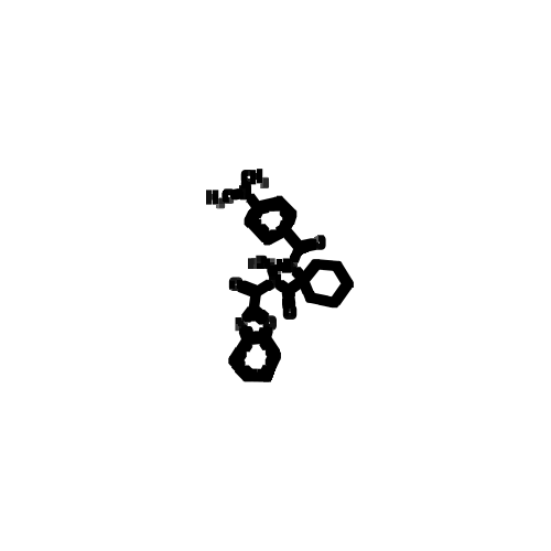 CCCCN(C(=O)c1nc2ccccc2o1)C(=O)C1(NC(=O)c2ccc(N(C)C)cc2)CCCCC1